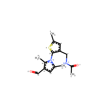 CC(=O)NCc1cc(C)sc1-n1c(C)cc(C=O)c1C